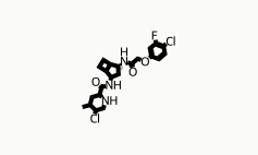 CC1CC(C(=O)NC2C[C@H](NC(=O)COc3ccc(Cl)c(F)c3)C3CCC23)NCC1Cl